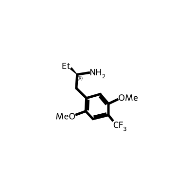 CC[C@@H](N)Cc1cc(OC)c(C(F)(F)F)cc1OC